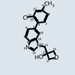 Cc1ccc(-c2ccc3ncn(CC4(O)COC4)c3c2)c(Cl)c1